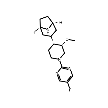 CO[C@@H]1CN(c2ncc(F)cn2)CC[C@@H]1C1C[C@H]2CC[C@@H](C1)N2